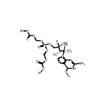 CCOC1NC(N)=Nc2c1ncn2[C@](C)(O)[C@H](O)[C@@](F)(COP(=O)(OCOC(=O)OC(C)C)OCOC(=O)OC(C)C)OC